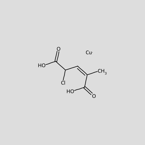 CC(=CC(Cl)C(=O)O)C(=O)O.[Cu]